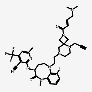 C#CCN1CCN(CCN2CC[C@H](Nc3nc(C)cc(C(F)(F)F)c3C#N)C(=O)N(C)c3cccc(F)c32)CC12CN(C(=O)/C=C/CN(C)C)C2